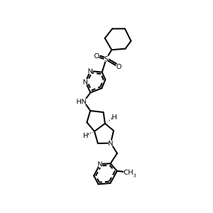 Cc1cccnc1CN1C[C@H]2CC(Nc3ccc(S(=O)(=O)C4CCCCC4)nn3)C[C@H]2C1